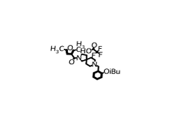 Cc1cc(C(=O)N2CCC3(CCN(Cc4ccccc4OCC(C)C)CC3)C2)c(C)o1.O=C(O)C(F)(F)F